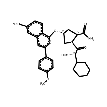 COc1ccc2c(O[C@@H]3C[C@@H](C(N)=O)N(C(=O)[C@@H](O)C4CCCCC4)C3)nc(-c3ccc(OC(F)(F)F)cc3)cc2c1